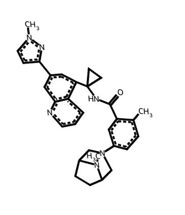 Cc1ccc(N2CC3CCC(C2)N3C)cc1C(=O)NC1(c2cc(-c3ccn(C)n3)cc3ncccc23)CC1